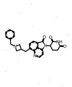 O=C1CCC(N2C(=O)c3ccc(CC4CN(Cc5ccccc5)C4)c4nccc2c34)C(=O)N1